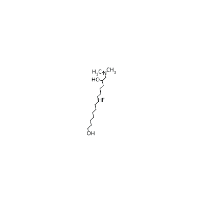 CN(C)CC(O)CCCCCCCCCCCCO.F